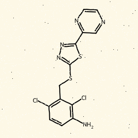 Nc1ccc(Cl)c(CSc2nnc(-c3cnccn3)s2)c1Cl